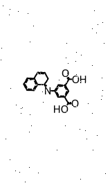 O=C(O)c1cc(N=C2CC=Cc3ccccc32)cc(C(=O)O)c1